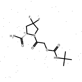 CC(C)(C)NC(=O)OCC(=O)N1CC(F)(F)C[C@H]1C(N)=O